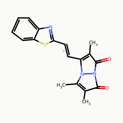 Cc1c(C)n2c(/C=C/c3nc4ccccc4s3)c(C)c(=O)n2c1=O